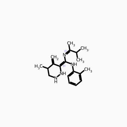 C=C1/C(=C(\N=C(\C)C(C)C)Nc2ccccc2C)NNCC1C